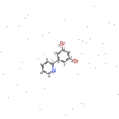 Brc1cc(Br)cc(-c2c[c]ccn2)c1